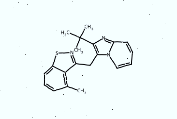 Cc1cccc2snc(Cc3c(C(C)(C)C)nc4ccccn34)c12